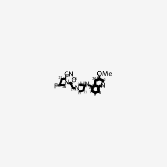 COc1cnc2cccc(N[C@H]3CCN(CC(=O)N4C[C@@H](F)C[C@H]4C#N)C3)c2c1